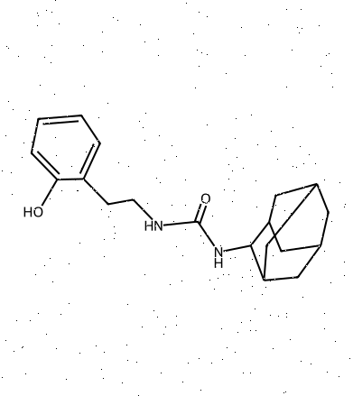 O=C(NCCc1ccccc1O)NC1C2CC3CC(C2)CC1C3